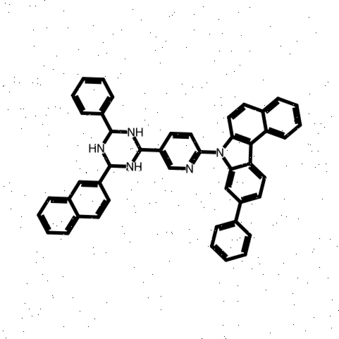 c1ccc(-c2ccc3c4c5ccccc5ccc4n(-c4ccc(C5NC(c6ccccc6)NC(c6ccc7ccccc7c6)N5)cn4)c3c2)cc1